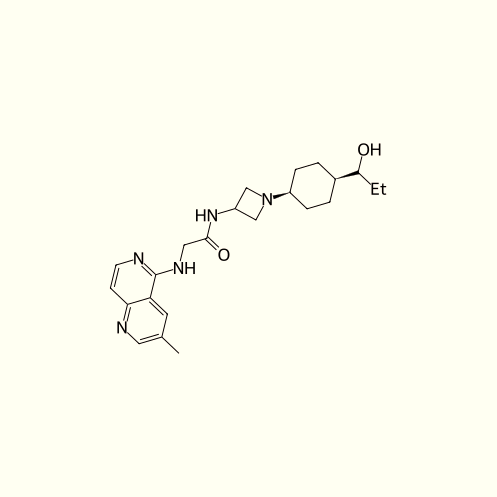 CCC(O)[C@H]1CC[C@@H](N2CC(NC(=O)CNc3nccc4ncc(C)cc34)C2)CC1